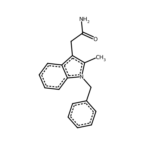 Cc1c(CC(N)=O)c2ccccc2n1Cc1ccccc1